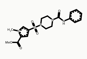 COC(=O)c1cc(S(=O)(=O)N2CCN(C(=O)Nc3ccccc3)CC2)cn1C